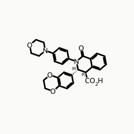 O=C(O)[C@@H]1c2ccccc2C(=O)N(c2ccc(N3CCOCC3)cc2)[C@H]1c1ccc2c(c1)OCCO2